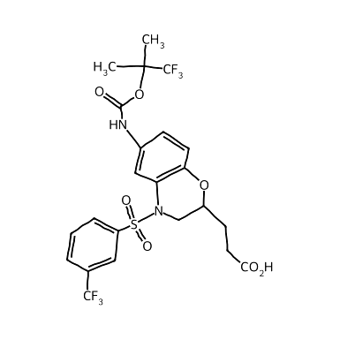 CC(C)(OC(=O)Nc1ccc2c(c1)N(S(=O)(=O)c1cccc(C(F)(F)F)c1)CC(CCC(=O)O)O2)C(F)(F)F